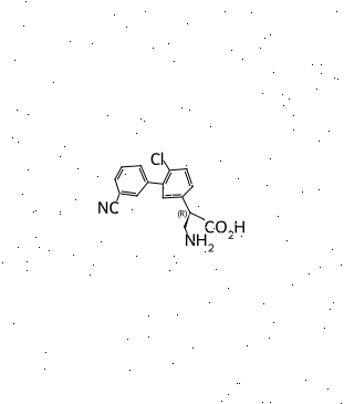 N#Cc1cccc(-c2cc([C@H](CN)CC(=O)O)ccc2Cl)c1